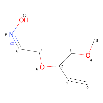 C=CC(COC)OC/C=N\O